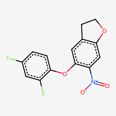 O=[N+]([O-])c1cc2c(cc1Oc1ccc(F)cc1F)CCO2